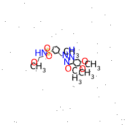 COCCCNS(=O)(=O)c1cccc(CN(C)c2nc(=O)c3c(C)c(OC)c(OC)cc3[nH]2)c1